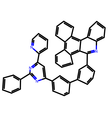 c1ccc(-c2nc(-c3cccc(-c4cccc(-c5nc6ccccc6c6c7ccccc7c7ccccc7c56)c4)c3)cc(-c3ccccn3)n2)cc1